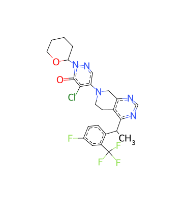 CC(c1ccc(F)cc1C(F)(F)F)c1ncnc2c1CCN(c1cnn(C3CCCCO3)c(=O)c1Cl)C2